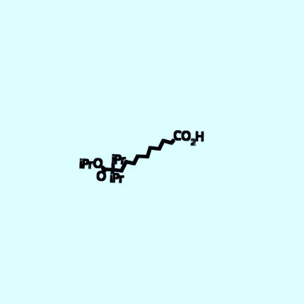 CC(C)OC(=O)C(CCCCCCCCCC(=O)O)(C(C)C)C(C)C